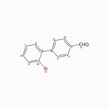 O=Cc1ccc(-c2ccccc2Br)cc1